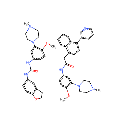 COc1ccc(NC(=O)Cc2ccc(-c3cccnc3)c3ccccc23)cc1N1CCN(C)CC1.COc1ccc(NC(=O)Nc2ccc3c(c2)CCO3)cc1N1CCN(C)CC1